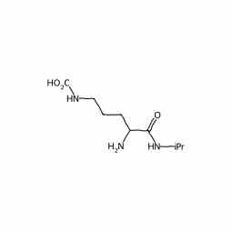 CC(C)NC(=O)C(N)CCCNC(=O)O